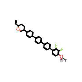 C=CC1CCC(c2ccc(-c3ccc(-c4ccc(-c5ccc(OCCC)c(F)c5F)cc4)cc3)cc2)CO1